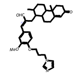 COc1cc(/C=C(/C=O)CC2C(C)CCC3C2CCC2=CC(=O)CCC23C)ccc1OCCCn1ccnc1